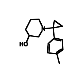 Cc1ccc(C2(N3CCCC(O)C3)CC2)cc1